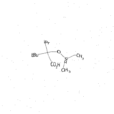 CC(C)C(O[SiH](C)C)(C(=O)O)C(C)(C)C